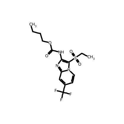 CCCCOC(=O)Nc1nc2cc(C(F)(F)F)ccn2c1S(=O)(=O)CC